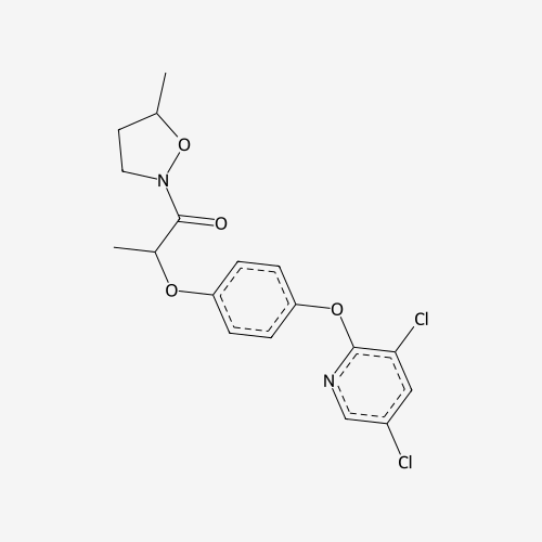 CC1CCN(C(=O)C(C)Oc2ccc(Oc3ncc(Cl)cc3Cl)cc2)O1